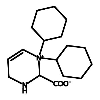 O=C([O-])C1NCC=C[N+]1(C1CCCCC1)C1CCCCC1